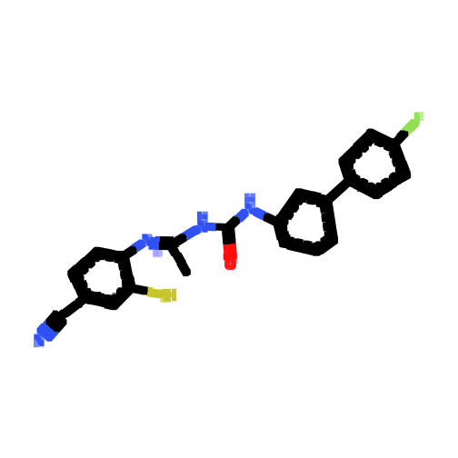 C/C(=N\c1ccc(C#N)cc1S)NC(=O)Nc1cccc(-c2ccc(F)cc2)c1